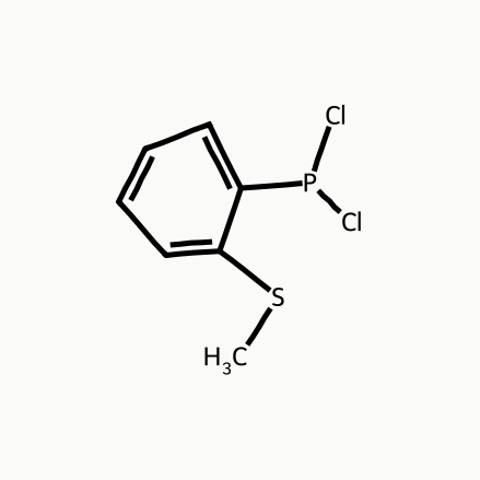 CSc1ccccc1P(Cl)Cl